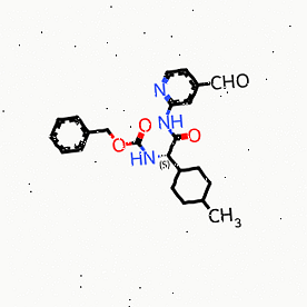 CC1CCC([C@H](NC(=O)OCc2ccccc2)C(=O)Nc2cc(C=O)ccn2)CC1